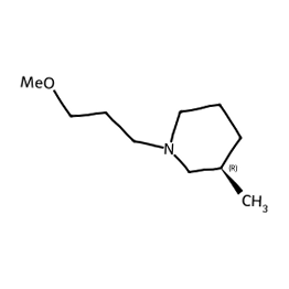 COCCCN1CCC[C@@H](C)C1